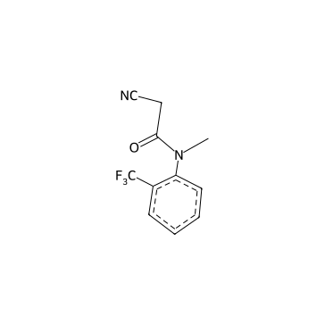 CN(C(=O)CC#N)c1ccccc1C(F)(F)F